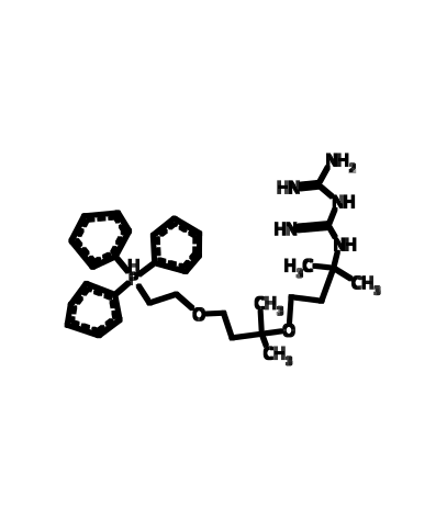 CC(C)(CCOC(C)(C)CCOCC[PH](c1ccccc1)(c1ccccc1)c1ccccc1)NC(=N)NC(=N)N